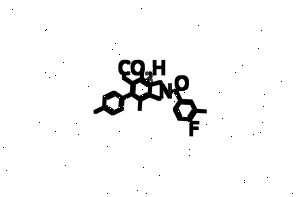 Cc1ccc(-c2c(C)c3c(c(C)c2CC(=O)O)CN(C(=O)c2ccc(F)c(C)c2)C3)cc1